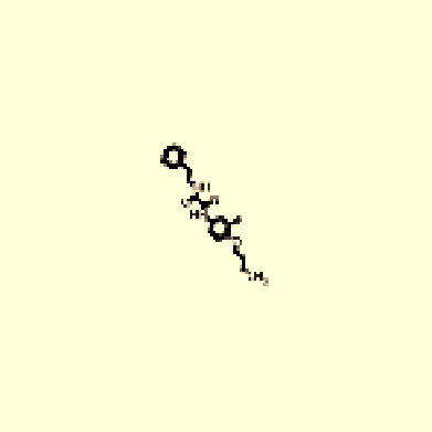 CCCCOc1ccc(NC(=O)C(=O)NCCc2ccccc2)cc1F